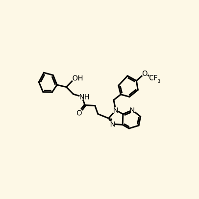 O=C(CCc1nc2cccnc2n1Cc1ccc(OC(F)(F)F)cc1)NCC(O)c1ccccc1